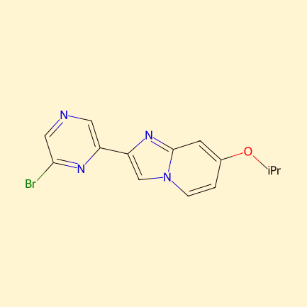 CC(C)Oc1ccn2cc(-c3cncc(Br)n3)nc2c1